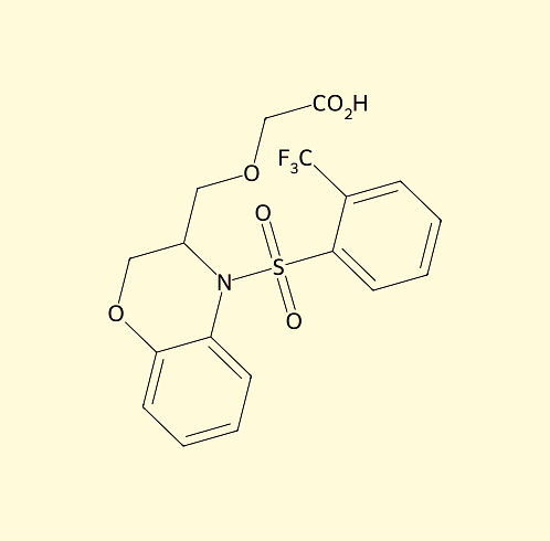 O=C(O)COCC1COc2ccccc2N1S(=O)(=O)c1ccccc1C(F)(F)F